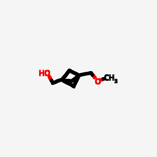 COCC12CC(CO)(C1)C2